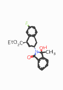 CCOC(=O)[C@@H]1C[C@@H](N2C(=O)c3ccccc3C2(C)O)Cc2ccc(F)cc21